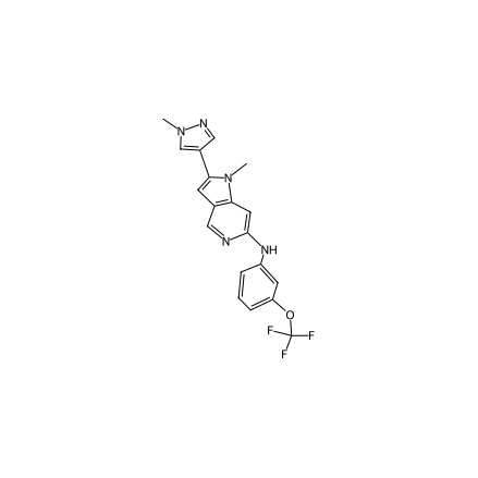 Cn1cc(-c2cc3cnc(Nc4cccc(OC(F)(F)F)c4)cc3n2C)cn1